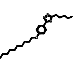 CCCCCCCCCCOc1ccc(-c2nnc(CCCCC)s2)cc1